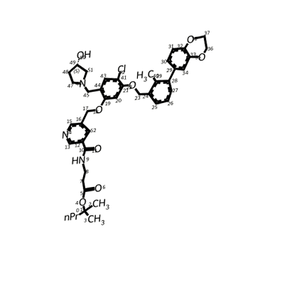 CCCC(C)(C)OC(=O)CCNC(=O)c1cncc(COc2cc(OCc3cccc(-c4ccc5c(c4)OCCO5)c3C)c(Cl)cc2CN2CC[C@H](O)C2)c1